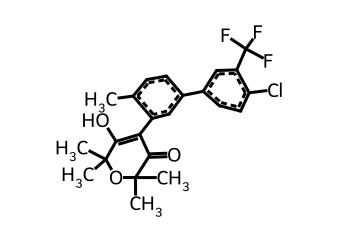 Cc1ccc(-c2ccc(Cl)c(C(F)(F)F)c2)cc1C1=C(O)C(C)(C)OC(C)(C)C1=O